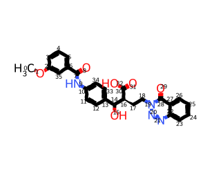 COc1cccc(C(=O)Nc2ccc(C(O)[C@H](CCn3nnc4ccccc4c3=O)C(=O)O)cc2)c1